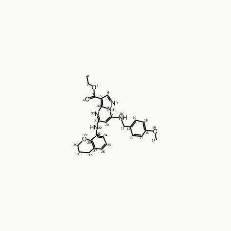 CCOC(=O)c1cnn2c(NCc3ccc(OC)cc3)cc(Nc3cccc4c3OCCC4)nc12